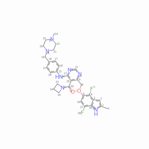 Cc1cc2c(F)c(OCc3ncnc(Nc4ccc(CN5CCN(C)CC5)cc4)c3C(=O)N3CCC3)cc(F)c2[nH]1